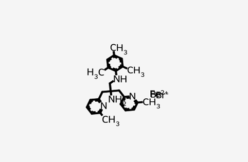 Cc1cc(C)c(NCC(N)(Cc2cccc(C)n2)Cc2cccc(C)n2)c(C)c1.[Br-].[Br-].[Fe+2]